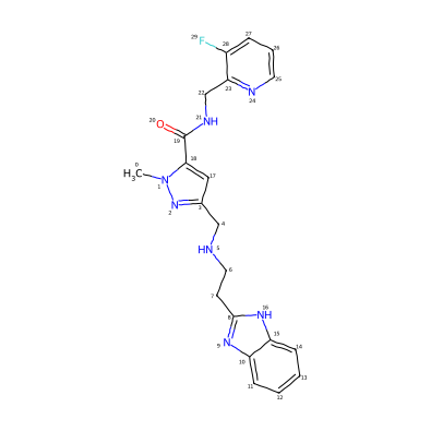 Cn1nc(CNCCc2nc3ccccc3[nH]2)cc1C(=O)NCc1ncccc1F